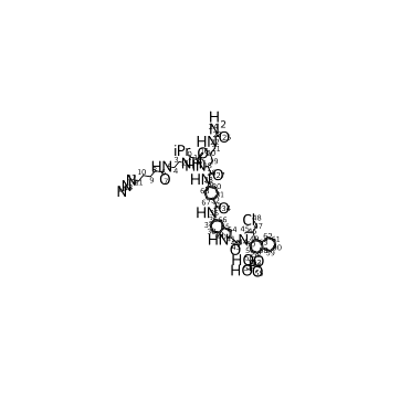 CC(C)[C@H](NCCNC(=O)CCCCN=[N+]=[N-])C(=O)N[C@@H](CCCNC(N)=O)C(=O)Nc1ccc(C(=O)Nc2ccc3[nH]c(C(=O)N4C[C@@H](CCl)c5c4cc(OP(=O)(O)O)c4ccccc54)cc3c2)cc1